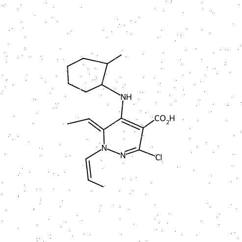 CC=C1C(NC2CCCCC2C)=C(C(=O)O)C(Cl)=NN1/C=C\C